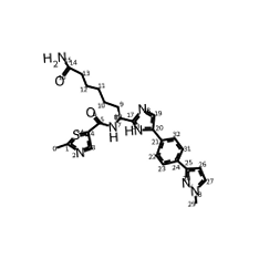 Cc1ncc(C(=O)N[C@@H](CCCCCC(N)=O)c2ncc(-c3ccc(-c4ccn(C)n4)cc3)[nH]2)s1